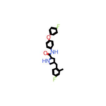 Cc1cc(F)ccc1CC1CNC(C(=O)Nc2ccc(Oc3ccc(F)cc3)cc2)C1